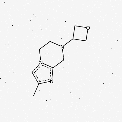 Cc1cn2c(n1)CN(C1COC1)CC2